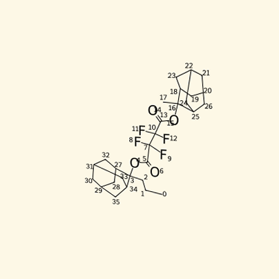 CCCC1(OC(=O)C(F)(F)C(F)(F)C(=O)OC2(C)C3CC4CC(C3)CC2C4)C2CC3CC(C2)CC1C3